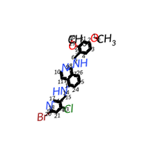 COc1ccc(CNc2nccc3c(NCc4cnc(Br)cc4Cl)cccc23)c(OC)c1